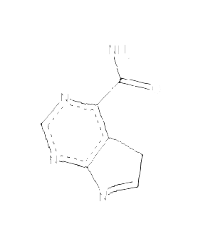 NC(=O)c1ncnc2c1CC=N2